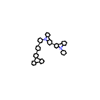 c1ccc(-n2c3ccccc3c3cc(-c4ccc5c(c4)c4ccccc4n5-c4cccc(-c5ccc(-c6ccc7c8ccccc8c8ccccc8c7c6)cc5)c4)ccc32)cc1